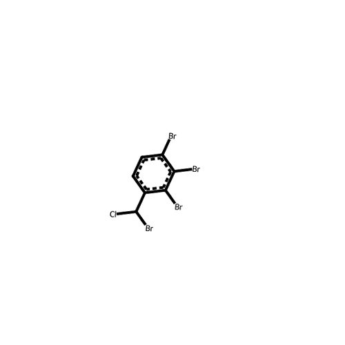 ClC(Br)c1ccc(Br)c(Br)c1Br